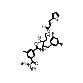 CCCN(CCC)C(=O)c1cc(C)cc(C(=O)NC(Cc2cc(F)cc(F)c2)C(O)CCNC(=O)/C=C/c2cccs2)c1